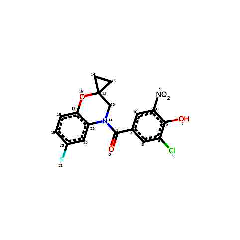 O=C(c1cc(Cl)c(O)c([N+](=O)[O-])c1)N1CC2(CC2)Oc2ccc(F)cc21